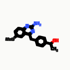 COc1ccc2nc(N)nc(Cc3ccc(C(C)O)cc3)c2c1